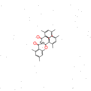 Cc1cc(C)c([C](=O)[Sn]([C](=O)c2c(C)cc(C)cc2C)[C](=O)c2c(C)cc(C)cc2C)c(C)c1